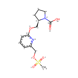 CS(=O)(=O)OCc1cccc(OC[C@H]2CCCN2C(=O)O)n1